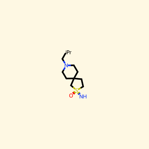 CC(C)CN1CCC2(CC1)CCS(=N)(=O)C2